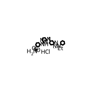 CCN(c1ccccc1)c1nc2cc(N(C)c3ccnc(Nc4cccc(S(N)(=O)=O)c4)n3)ccc2n1C.Cl